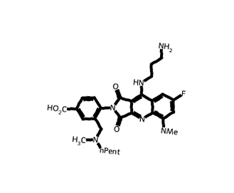 CCCCCN(C)Cc1cc(C(=O)O)ccc1N1C(=O)c2nc3c(NC)cc(F)cc3c(NCCCN)c2C1=O